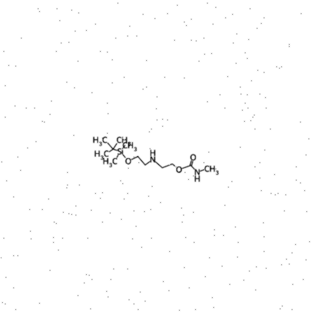 CNC(=O)OCCNCCO[Si](C)(C)C(C)(C)C